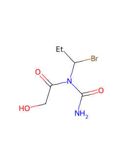 CCC(Br)N(C(N)=O)C(=O)CO